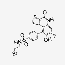 O=c1[nH]c2cc(F)c(O)c(-c3ccc(S(=O)(=O)NCCBr)cc3)c2c2ccsc12